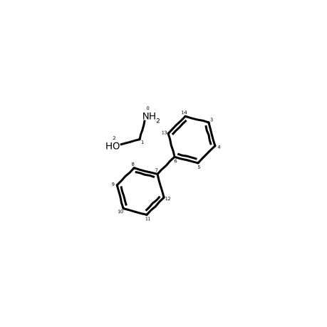 NCO.c1ccc(-c2ccccc2)cc1